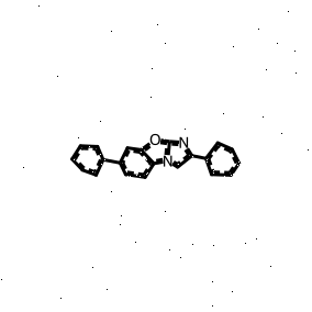 c1ccc(-c2ccc3c(c2)oc2nc(-c4ccccc4)cn23)cc1